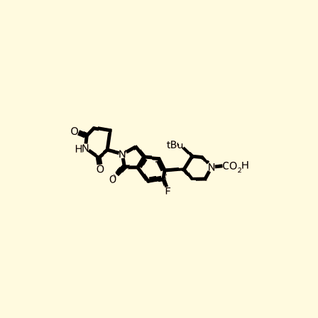 CC(C)(C)C1CN(C(=O)O)CCC1c1cc2c(cc1F)C(=O)N(C1CCC(=O)NC1=O)C2